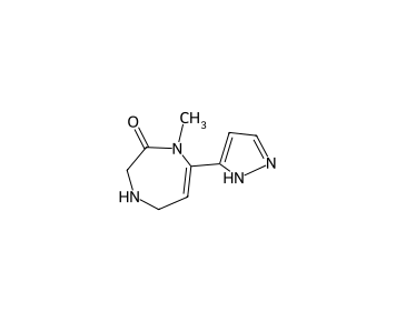 CN1C(=O)CNCC=C1c1ccn[nH]1